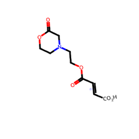 O=C(O)/C=C/C(=O)OCCN1CCOC(=O)C1